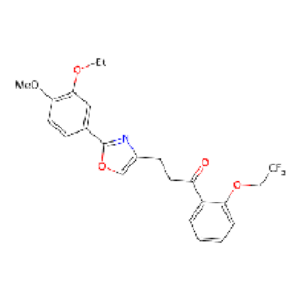 CCOc1cc(-c2nc(CCC(=O)c3ccccc3OCC(F)(F)F)co2)ccc1OC